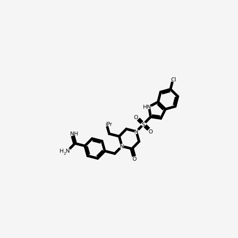 CC(C)CC1CN(S(=O)(=O)c2cc3ccc(Cl)cc3[nH]2)CC(=O)N1Cc1ccc(C(=N)N)cc1